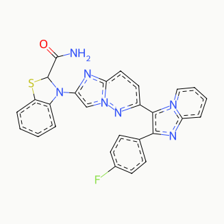 NC(=O)C1Sc2ccccc2N1c1cn2nc(-c3c(-c4ccc(F)cc4)nc4ccccn34)ccc2n1